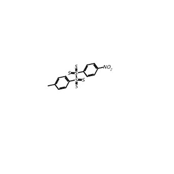 Cc1ccc(S(=S)(=S)S(=S)(=S)c2ccc([N+](=O)[O-])cc2)cc1